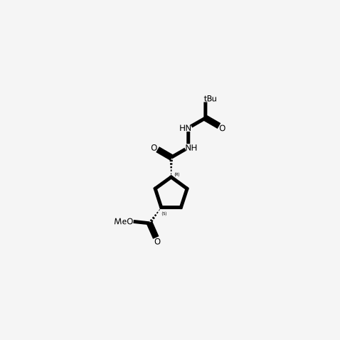 COC(=O)[C@H]1CC[C@@H](C(=O)NNC(=O)C(C)(C)C)C1